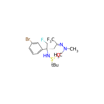 CN(C)/N=C(\C[C@](CF)(N[S+]([O-])C(C)(C)C)c1cccc(Br)c1)C(F)(F)F